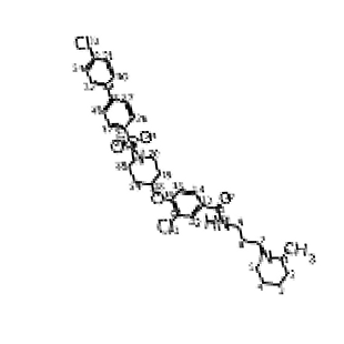 CC1CCCCN1CCCNC(=O)c1ccc(OC2CCN(S(=O)(=O)c3ccc(-c4ccc(Cl)cc4)cc3)CC2)c(Cl)c1